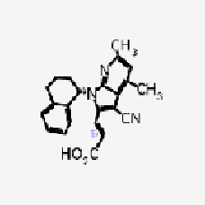 Cc1cc(C)c2c(C#N)c(/C=C/C(=O)O)n([C@H]3CCCc4ccccc43)c2n1